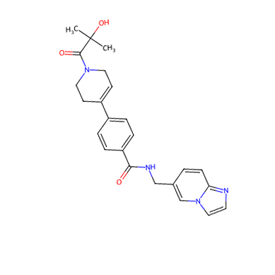 CC(C)(O)C(=O)N1CC=C(c2ccc(C(=O)NCc3ccc4nccn4c3)cc2)CC1